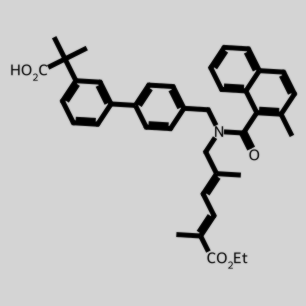 CCOC(=O)/C(C)=C/C=C(\C)CN(Cc1ccc(-c2cccc(C(C)(C)C(=O)O)c2)cc1)C(=O)c1c(C)ccc2ccccc12